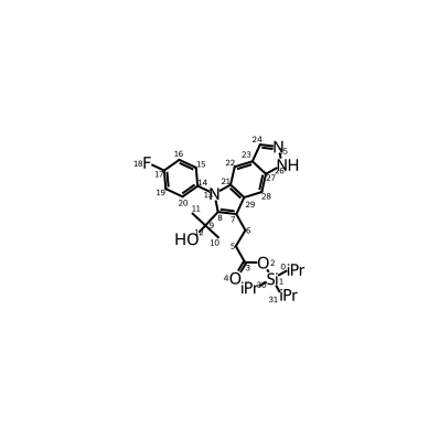 CC(C)[Si](OC(=O)CCc1c(C(C)(C)O)n(-c2ccc(F)cc2)c2cc3cn[nH]c3cc12)(C(C)C)C(C)C